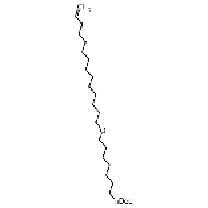 C=CCCCCCCCCCCCCOCCCCCCCCCCCCCCCCC